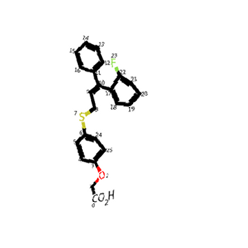 O=C(O)COc1ccc(SCC=C(c2ccccc2)c2ccccc2F)cc1